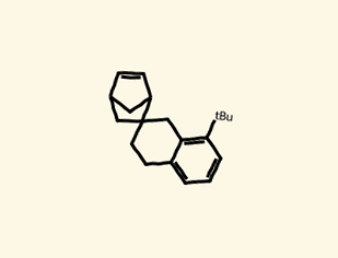 CC(C)(C)c1cccc2c1CC1(CC2)CC2C=CC1C2